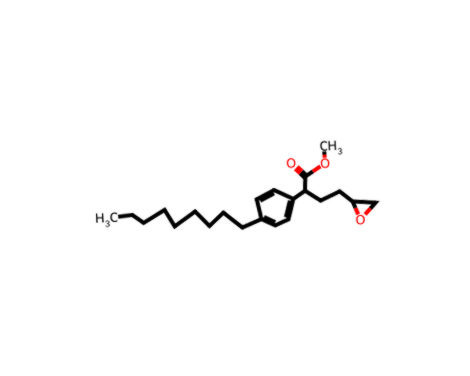 CCCCCCCCCc1ccc(C(CCC2CO2)C(=O)OC)cc1